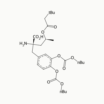 CCCCOC(=O)Oc1ccc(C[C@](N)(C[C@H](C)OC(=O)CC(C)(C)C)C(=O)O)cc1OC(=O)OCCCC